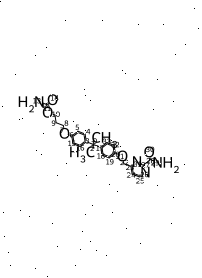 CC(C)(c1ccc(OCCCOC(N)=O)cc1)c1ccc(OCc2ccnc(C(N)=O)n2)cc1